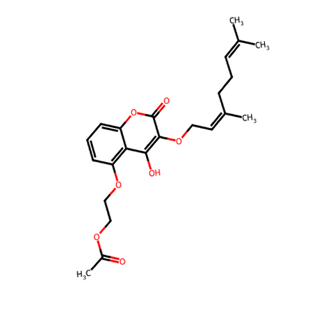 CC(=O)OCCOc1cccc2oc(=O)c(OCC=C(C)CCC=C(C)C)c(O)c12